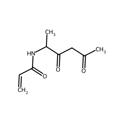 C=CC(=O)NC(C)C(=O)CC(C)=O